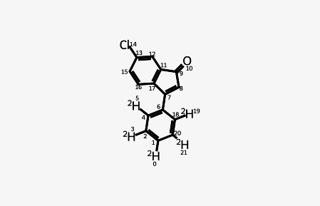 [2H]c1c([2H])c([2H])c(C2=CC(=O)c3cc(Cl)ccc32)c([2H])c1[2H]